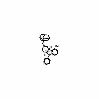 Cl.c1ccc(N2c3ccccc3[C@@H]3CN(CC45CC6CC(CC(C6)C4)C5)CC[C@H]32)cc1